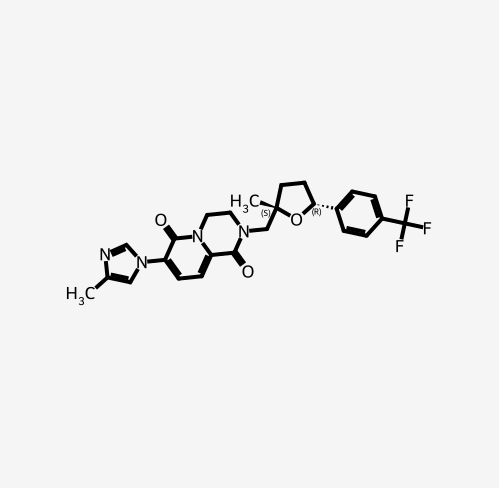 Cc1cn(-c2ccc3n(c2=O)CCN(C[C@]2(C)CC[C@H](c4ccc(C(F)(F)F)cc4)O2)C3=O)cn1